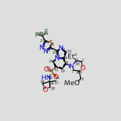 CC[C@H]1CO[C@@H](COC)CN1c1cc(S(=O)(=O)NC2(C)COC2)cn2c(-c3nnc(C(F)F)s3)ncc12